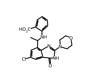 CC(Nc1ccccc1C(=O)O)c1cc(Cl)cc2c(=O)[nH]c(N3CCOCC3)nc12